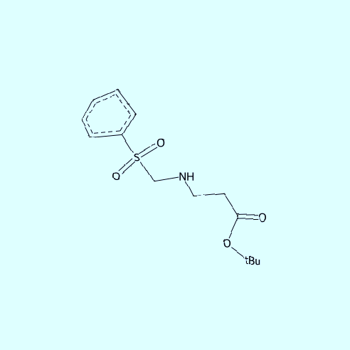 CC(C)(C)OC(=O)CCNCS(=O)(=O)c1ccccc1